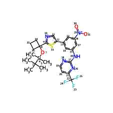 CC(C)(C)[Si](C)(C)OC1(c2ncc(-c3cc(Nc4nccc(C(F)(F)F)n4)cc([N+](=O)[O-])c3)s2)CCC1